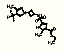 CCOC(=O)c1cc(S(=O)(=O)N[C@H]2C[C@H](n3cc(C(F)(F)F)c(C)n3)C2)[nH]c1C